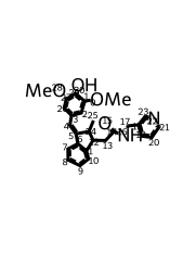 COc1cc(C=C2c3ccccc3C(CC(=O)NCc3cccnc3)C2C)cc(OC)c1O